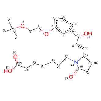 CC(C)(C)OCCOc1cccc([C@H](O)/C=C/C2CCC(=O)N2CCCCCCC(=O)O)c1